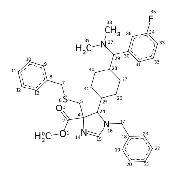 COC(=O)C1(CSCc2ccccc2)N=CN(Cc2ccccc2)C1C1CCC(C(c2cccc(F)c2)N(C)C)CC1